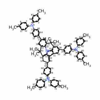 Cc1ccc(N(c2ccc(C)cc2)c2ccc(-c3cc4c5c(c3)C(C)(C)c3cc(-c6ccc(N(c7ccc(C)cc7)c7ccc(C)cc7)cc6)cc6c7c(n-5c36)=C(CC(c3ccc(N(c5ccc(C)cc5)c5ccc(C)cc5)cc3)C=7)C4(C)C)cc2)cc1